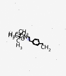 C=Cc1ccc(/C=C/N2OC(C)(C)C(C)(C)O2)cc1